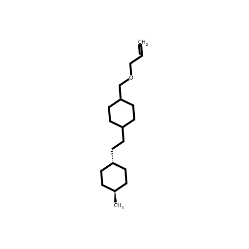 C=CCOCC1CCC(CC[C@H]2CC[C@H](C)CC2)CC1